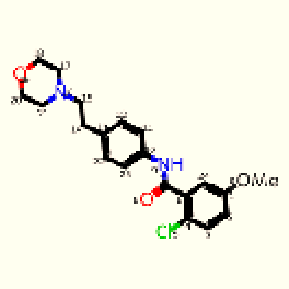 COc1ccc(Cl)c(C(=O)Nc2ccc(CCN3CCOCC3)cc2)c1